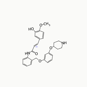 COc1ccc(/C=C/C(=O)Nc2ccccc2COc2cccc(OC3CCNCC3)c2)cc1O